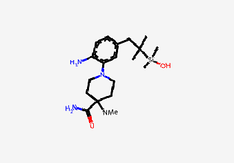 CNC1(C(N)=O)CCN(c2cc(CC(C)(C)[Si](C)(C)O)ccc2N)CC1